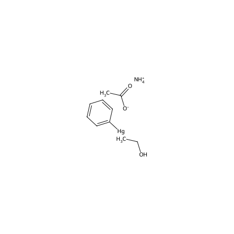 CC(=O)[O-].CCO.[Hg][c]1ccccc1.[NH4+]